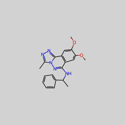 COc1cc2c(NC(C)c3ccccc3)nn3c(C)nnc3c2cc1OC